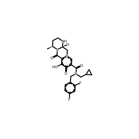 C[C@H]1CCN[C@@H]2Cn3cc(C(=O)N(Cc4ccc(F)cc4F)CC4CC4)c(=O)c(O)c3C(=O)N12